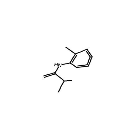 C=C(NC1=C(C)C=C=C=C1)C(C)C